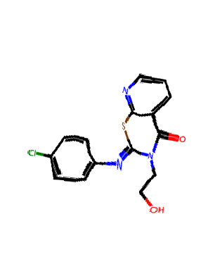 O=c1c2cccnc2sc(=Nc2ccc(Cl)cc2)n1CCO